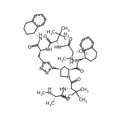 CN[C@@H](C)C(=O)N[C@H](C(=O)N[C@@H](Cc1cn([C@H]2C[C@@H](C(=O)N[C@@H]3CCCc4ccccc43)N(C(=O)[C@@H](NC(=O)[C@H](C)NC)C(C)(C)C)C2)nn1)C(=O)N[C@@H]1CCCc2ccccc21)C(C)(C)C